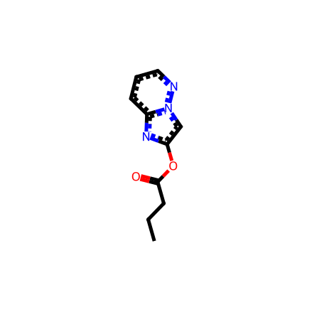 CCCC(=O)Oc1cn2ncccc2n1